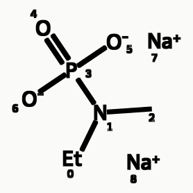 CCN(C)P(=O)([O-])[O-].[Na+].[Na+]